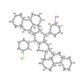 Fc1cccc(-c2c3cc4c(cc3c(-c3cccc(I)c3)c3c5cccc6c7ccccc7cc(c23)c65)c2cc3ccccc3c3cccc4c32)c1